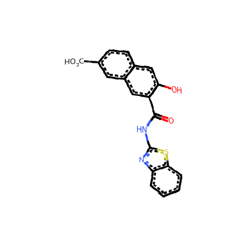 O=C(O)c1ccc2cc(O)c(C(=O)Nc3nc4ccccc4s3)cc2c1